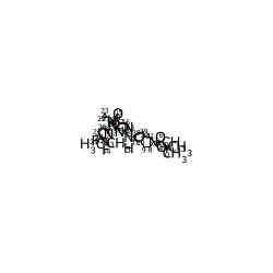 CC(C)(C)OC(=O)N1CCc2cc(Nc3ncc4c(=O)n(C5CC5)n(-c5ccc(F)c(C(C)(C)F)n5)c4n3)ccc2C1